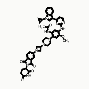 COc1cc(N2CCN(C3CN(c4ccc5c(c4)C(=O)N(C4CCC(=O)NC4=O)C5=O)C3)CC2)c(NC(C)=O)cc1Nc1nccc(-c2cn(C3CC3)c3ccccc23)n1